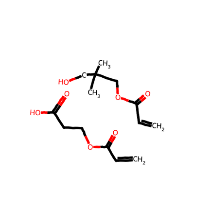 C=CC(=O)OCC(C)(C)CO.C=CC(=O)OCCC(=O)O